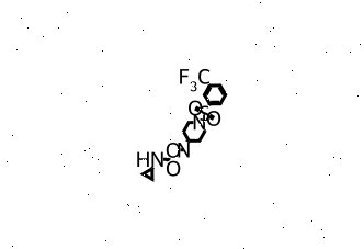 O=C(NC1CC1)ON=C1CCN(S(=O)(=O)c2cccc(C(F)(F)F)c2)CC1